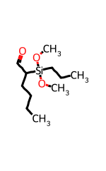 CCCCC(C=O)[Si](CCC)(OC)OC